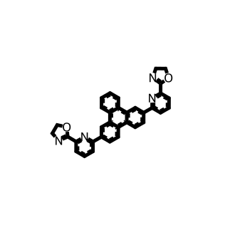 c1cc(C2=NCCO2)nc(-c2ccc3c4ccc(-c5cccc(C6=NCCO6)n5)cc4c4ccccc4c3c2)c1